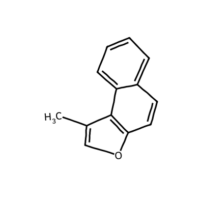 Cc1coc2ccc3ccccc3c12